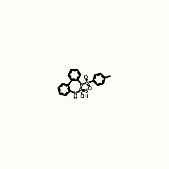 Cc1ccc(S(=O)(=O)N2c3ccccc3-c3ccccc3NP2(O)=S)cc1